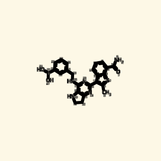 Cc1sc2c(C(N)=O)cccc2c1-c1nc2c(c(NCc3cccc(B(O)O)c3)n1)NCC2